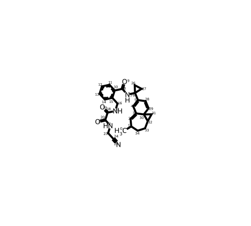 CC1C=C2C=C(C3(NC(=O)c4ccccc4CNC(=O)C(=O)NCC#N)CC3)C=CC23CC3CC1